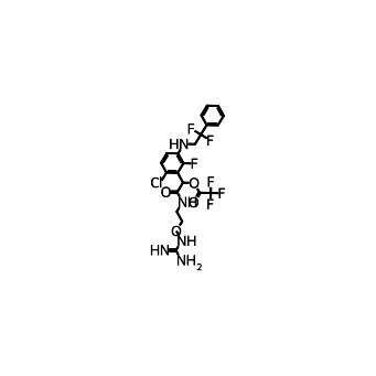 N=C(N)NOCCNC(=O)C(OC(=O)C(F)(F)F)c1c(Cl)ccc(NCC(F)(F)c2ccccc2)c1F